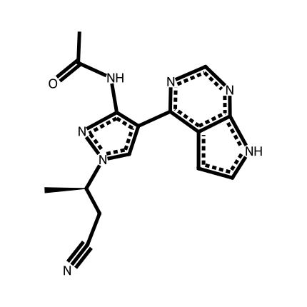 CC(=O)Nc1nn([C@H](C)CC#N)cc1-c1ncnc2[nH]ccc12